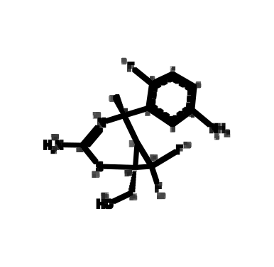 C[C@]1(c2cc(N)ccc2F)N=C(N)S[C@@]2(CO)C1C2(F)F